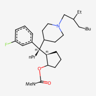 CCC[C@@](c1cccc(F)c1)(C1CCN(CC(CC)CC(C)CC)CC1)[C@H]1CCCC1OC(=O)NC